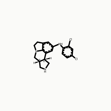 Clc1ccc(Nc2cc3c4c(c2)[C@@H]2CNC[C@@H]2CN4CC3)c(Cl)c1